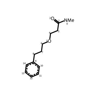 CNC(=O)CCOCCCc1ccccc1